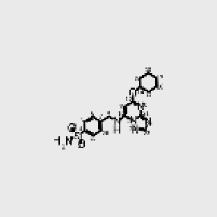 NS(=O)(=O)c1ccc(CNc2cc(OC3CCCCC3)nc3ncnn23)cc1